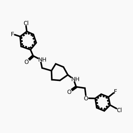 O=C(COc1ccc(Cl)c(F)c1)NC1CCC(CNC(=O)c2ccc(Cl)c(F)c2)CC1